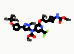 CC(CC12CC(NC(=O)OC(C)(C)C)(C1)C2)Oc1cc(N(C(=O)OC(C)(C)C)c2cc([C@H]3CC[C@@H](O[Si](C)(C)C(C)(C)C)C3)nn2C(C)(C)C)cc(C(F)F)n1